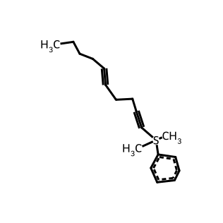 CCCCC#CCCC#CS(C)(C)c1ccccc1